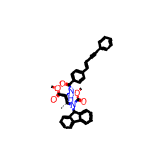 COC(=O)[C@@H](NC(=O)c1ccc(/C=C/C#Cc2ccccc2)cc1)[C@@H](C)N(C(=O)OC)C1c2ccccc2-c2ccccc21